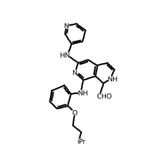 CC(C)CCOc1ccccc1Nc1nc(Nc2cccnc2)cc2c1C(C=O)NC=C2